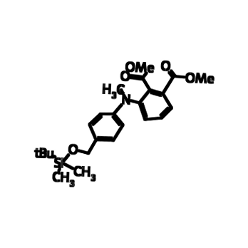 COC(=O)c1cccc(N(C)c2ccc(CO[Si](C)(C)C(C)(C)C)cc2)c1C(=O)OC